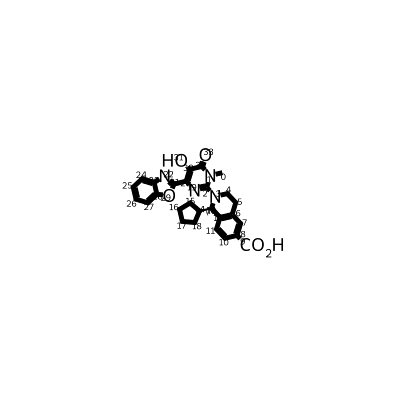 Cn1c(N2CCc3cc(C(=O)O)ccc3[C@H]2C2CCCC2)nc(-c2nc3ccccc3o2)c(O)c1=O